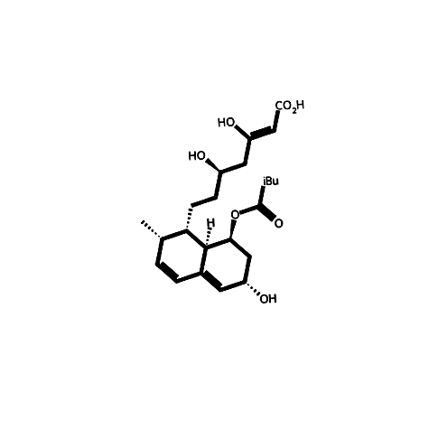 CCC(C)C(=O)O[C@H]1C[C@H](O)C=C2C=C[C@H](C)[C@H](CC[C@@H](O)CC(O)=CC(=O)O)[C@H]21